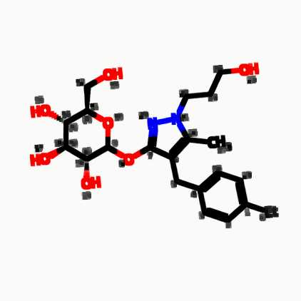 CCc1ccc(Cc2c(OC3O[C@H](CO)[C@@H](O)[C@H](O)[C@H]3O)nn(CCCO)c2C)cc1